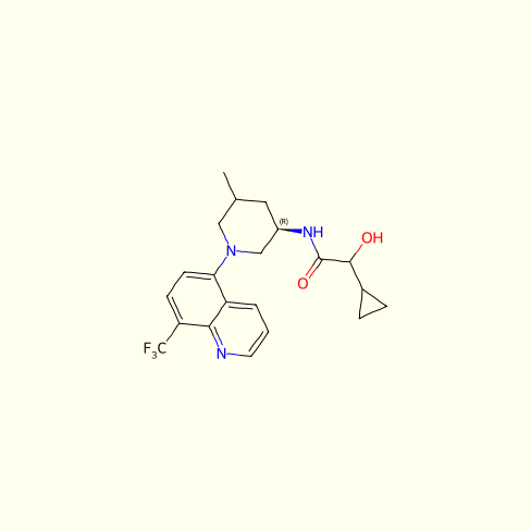 CC1C[C@@H](NC(=O)C(O)C2CC2)CN(c2ccc(C(F)(F)F)c3ncccc23)C1